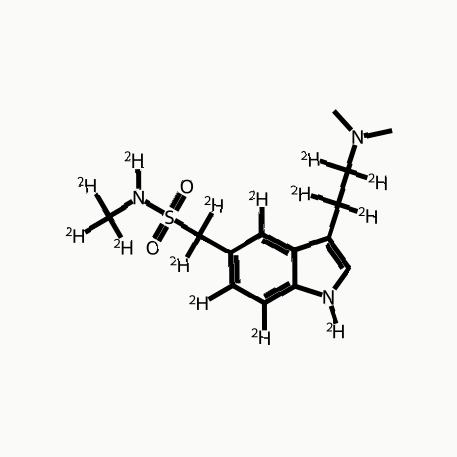 [2H]c1c(C([2H])([2H])S(=O)(=O)N([2H])C([2H])([2H])[2H])c([2H])c2c(C([2H])([2H])C([2H])([2H])N(C)C)cn([2H])c2c1[2H]